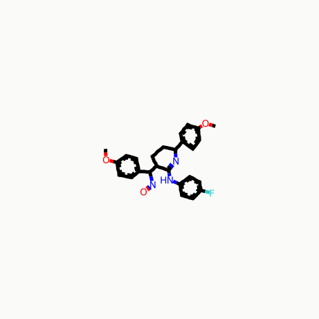 COc1ccc(C2CCC(C(N=O)c3ccc(OC)cc3)C(Nc3ccc(F)cc3)=N2)cc1